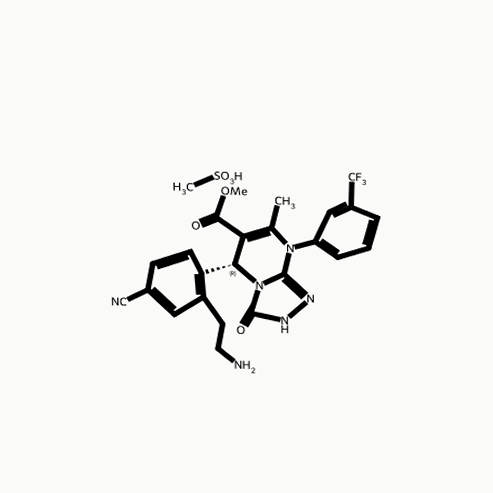 COC(=O)C1=C(C)N(c2cccc(C(F)(F)F)c2)c2n[nH]c(=O)n2[C@@H]1c1ccc(C#N)cc1CCN.CS(=O)(=O)O